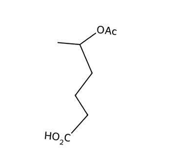 CC(=O)OC(C)CCCC(=O)O